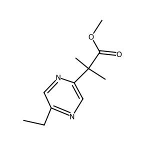 CCc1cnc(C(C)(C)C(=O)OC)cn1